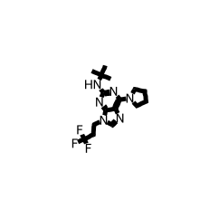 CC(C)(C)Nc1nc(N2CCCC2)c2ncn(CCC(F)(F)F)c2n1